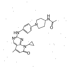 CC(=O)NC1CCN(c2ccc(Nc3ncc4c(C)cc(=O)n(C5CC5)c4n3)cc2)CC1